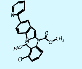 COC(=O)N(c1cc2cc(-c3ccccn3)ccc2o1)c1cccc(Cl)c1C(=O)O